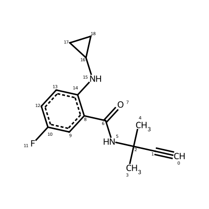 C#CC(C)(C)NC(=O)c1cc(F)ccc1NC1CC1